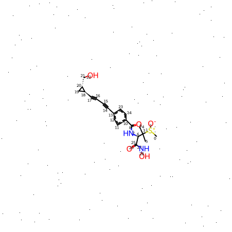 C[S+]([O-])C(C)(C)[C@H](NC(=O)c1ccc(C#CC#C[C@H]2C[C@@H]2CO)cc1)C(=O)NO